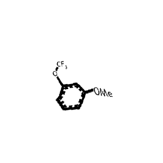 [CH2]Oc1cccc(OC(F)(F)F)c1